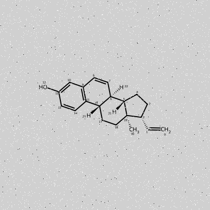 C=C[C@H]1CC[C@H]2[C@@H]3C=Cc4cc(O)ccc4[C@H]3CC[C@]12C